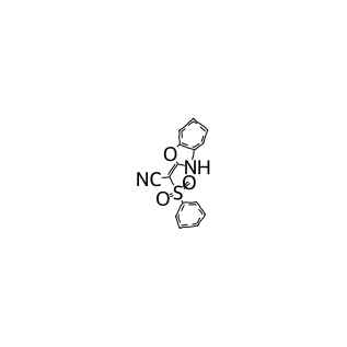 N#CC(=C1Nc2ccccc2O1)S(=O)(=O)c1ccccc1